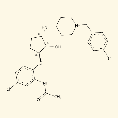 CC(=O)Nc1cc(Cl)ccc1O[C@H]1CC[C@H](NC2CCN(Cc3ccc(Cl)cc3)CC2)[C@@H]1O